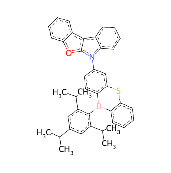 CC(C)c1cc(C(C)C)c(B2c3ccccc3Sc3cc(-n4c5ccccc5c5c6ccccc6oc54)ccc32)c(C(C)C)c1